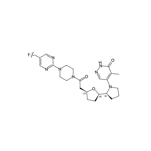 Cc1c(N2CCC[C@H]2[C@H]2CC[C@@H](CC(=O)N3CCN(c4ncc(C(F)(F)F)cn4)CC3)O2)cn[nH]c1=O